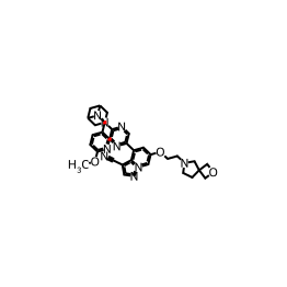 COc1ccc(CN2C3CC2CN(c2cnc(-c4cc(OCCN5CCC6(COC6)C5)cn5ncc(C#N)c45)cn2)C3)cn1